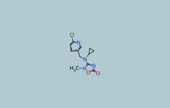 Cn1oc(=O)nc1N(Cc1ccc(Cl)nc1)C1CC1